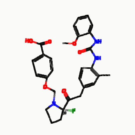 COc1ccccc1NC(=O)Nc1ccc(CC(=O)[C@@]2(F)CCCN2COc2ccc(C(=O)O)cc2)cc1C